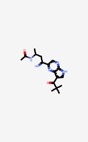 CC(=O)NC(C)CC(=N)c1cnc2[nH]cc(C(=O)C(C)(C)C)c2n1